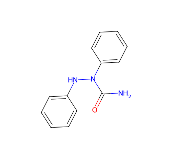 NC(=O)N(Nc1ccccc1)c1ccccc1